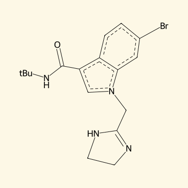 CC(C)(C)NC(=O)c1cn(CC2=NCCN2)c2cc(Br)ccc12